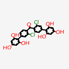 O=C(c1ccc(-c2c(O)cc(O)cc2O)cc1Cl)c1ccc(-c2c(O)cc(O)cc2O)cc1Cl